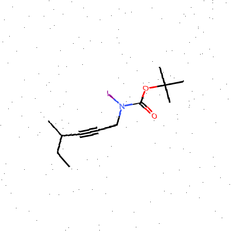 CCC(C)C#CCN(I)C(=O)OC(C)(C)C